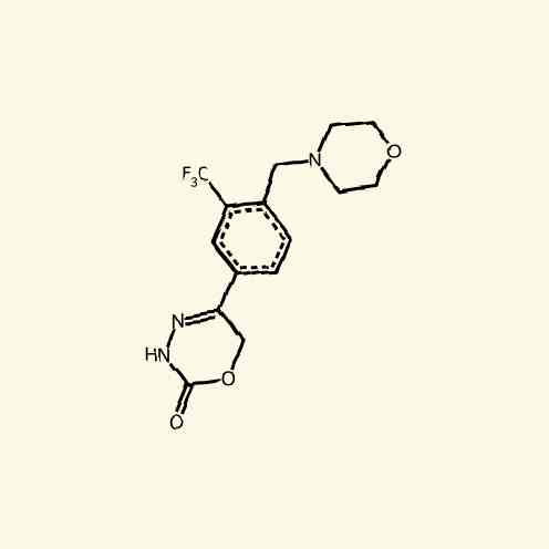 O=C1NN=C(c2ccc(CN3CCOCC3)c(C(F)(F)F)c2)CO1